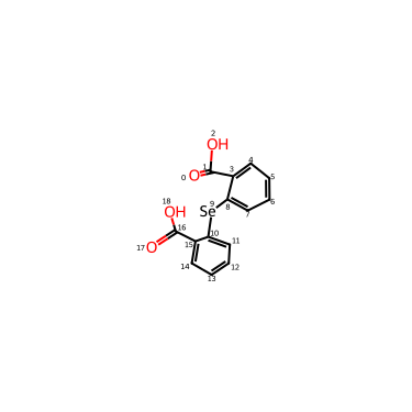 O=C(O)c1ccccc1[Se]c1ccccc1C(=O)O